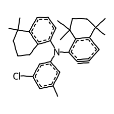 Cc1cc(Cl)cc(N(c2c#ccc3c2C(C)(C)CCC3(C)C)c2cccc3c2CCCC3(C)C)c1